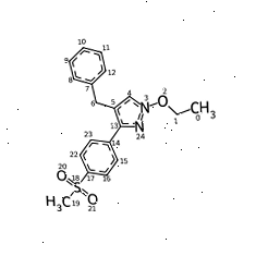 CCOn1cc(Cc2ccccc2)c(-c2ccc(S(C)(=O)=O)cc2)n1